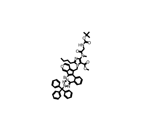 CCCCc1nc(N(C)C(=O)CNC(=O)OC(C)(C)C)c(C(=O)OC)n1Cc1c2ccocc-2c(Br)c1-c1ccccc1-c1nnn(C(c2ccccc2)(c2ccccc2)c2ccccc2)n1